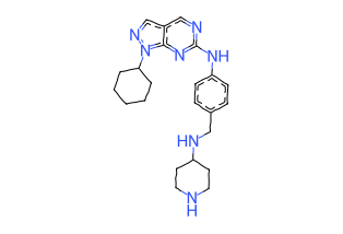 c1cc(Nc2ncc3cnn(C4CCCCC4)c3n2)ccc1CNC1CCNCC1